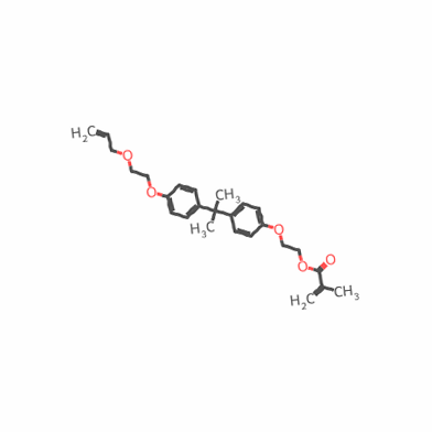 C=CCOCCOc1ccc(C(C)(C)c2ccc(OCCOC(=O)C(=C)C)cc2)cc1